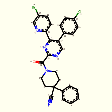 N#CC1(c2ccccc2)CCN(C(=O)c2ncc(-c3ccc(Cl)cc3)c(-c3ccc(Br)cn3)n2)CC1